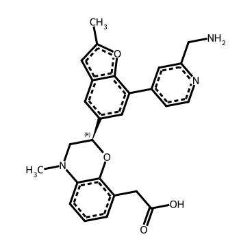 Cc1cc2cc([C@@H]3CN(C)c4cccc(CC(=O)O)c4O3)cc(-c3ccnc(CN)c3)c2o1